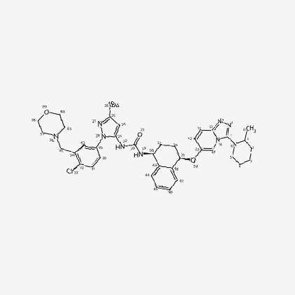 CC1CCCCN1c1nnc2ccc(O[C@@H]3CC[C@H](NC(=O)Nc4cc(C(C)(C)C)nn4-c4ccc(Cl)c(CN5CCOCC5)c4)c4ccccc43)cn12